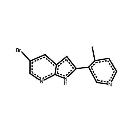 Cc1ccncc1-c1cc2cc(Br)cnc2[nH]1